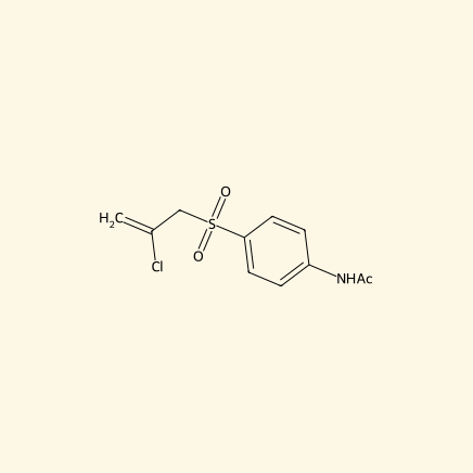 C=C(Cl)CS(=O)(=O)c1ccc(NC(C)=O)cc1